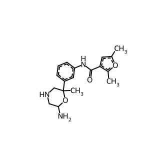 Cc1cc(C(=O)Nc2cccc(C3(C)CNCC(N)O3)c2)c(C)o1